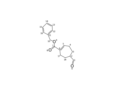 O=CC1CCC=C(C(=O)OCc2ccccc2)CC1